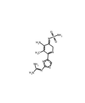 CC1=C(N)C(=NS(N)(=O)=O)CN=C1c1csc(N=C(N)N)n1